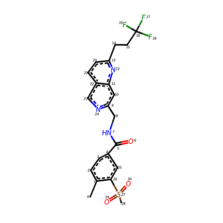 Cc1ccc(C(=O)NCc2cc3nc(CCC(F)(F)F)ccc3cn2)cc1S(C)(=O)=O